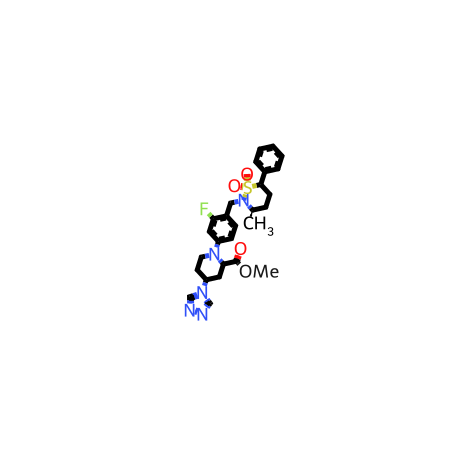 COC(=O)C1CC(n2cnnc2)CCN1c1ccc(CN2[C@@H](C)CCC(c3ccccc3)S2(=O)=O)c(F)c1